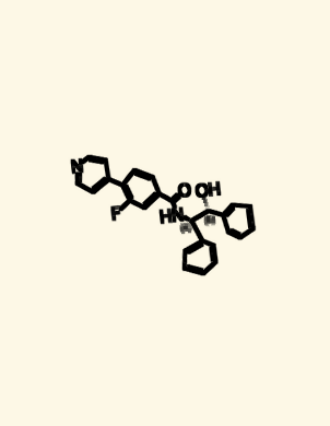 O=C(N[C@H](c1ccccc1)[C@H](O)c1ccccc1)c1ccc(-c2ccncc2)c(F)c1